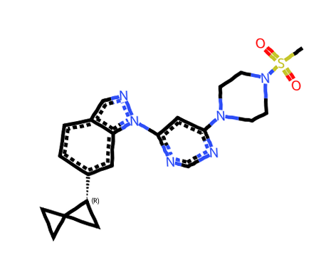 CS(=O)(=O)N1CCN(c2cc(-n3ncc4ccc([C@@H]5CC56CC6)cc43)ncn2)CC1